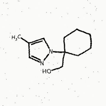 Cc1cnn(C2(CO)CCCCC2)c1